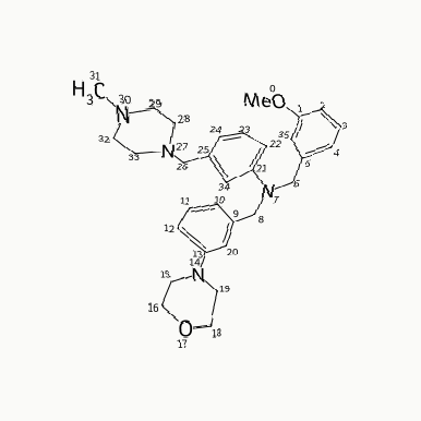 COc1cccc(CN(Cc2cccc(N3CCOCC3)c2)c2cccc(CN3CCN(C)CC3)c2)c1